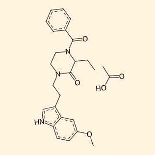 CC(=O)O.CCC1C(=O)N(CCc2c[nH]c3ccc(OC)cc23)CCN1C(=O)c1ccccc1